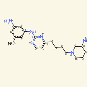 N#Cc1cc(N)cc(Nc2nccc(CCCCN3CCCC(N)C3)n2)c1